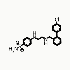 NS(=O)(=O)c1ccc(NCCNCc2ccccc2-c2ccc(Cl)cc2)cc1